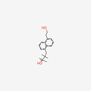 CC(C)(Cc1cccc2c(CCO)cccc12)[Si](C)(C)O